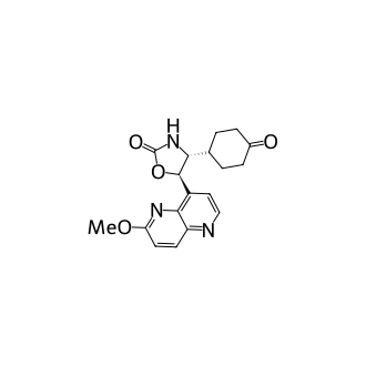 COc1ccc2nccc([C@H]3OC(=O)N[C@@H]3C3CCC(=O)CC3)c2n1